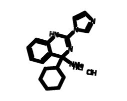 CNC1(C2CCCCC2)N=C(n2ccnc2)Nc2ccccc21.Cl.Cl